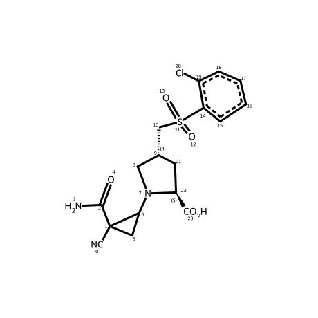 N#CC1(C(N)=O)CC1N1C[C@H](CS(=O)(=O)c2ccccc2Cl)C[C@H]1C(=O)O